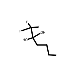 CCCCC(O)(O)C(F)(F)F